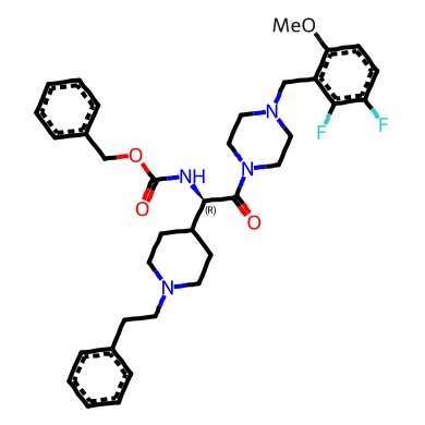 COc1ccc(F)c(F)c1CN1CCN(C(=O)[C@H](NC(=O)OCc2ccccc2)C2CCN(CCc3ccccc3)CC2)CC1